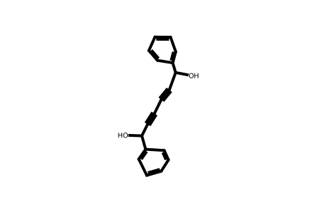 OC(C#CC#CC(O)c1ccccc1)c1ccccc1